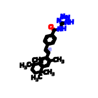 Cc1cc2c(cc1/C=C/c1ccc(C(=O)Nc3nnn[nH]3)cc1)C(C)(C)CCC2(C)C